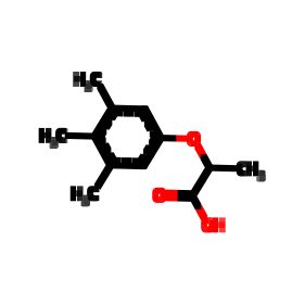 Cc1cc(OC(C)C(=O)O)cc(C)c1C